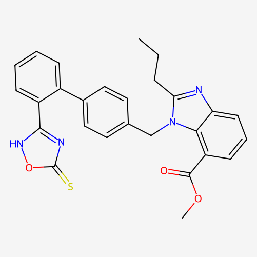 CCCc1nc2cccc(C(=O)OC)c2n1Cc1ccc(-c2ccccc2-c2nc(=S)o[nH]2)cc1